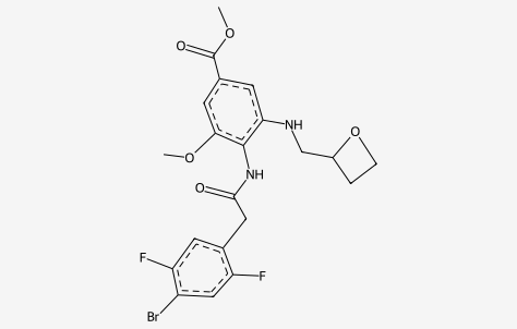 COC(=O)c1cc(NCC2CCO2)c(NC(=O)Cc2cc(F)c(Br)cc2F)c(OC)c1